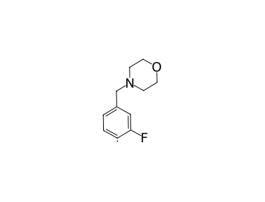 Fc1[c]ccc(CN2CCOCC2)c1